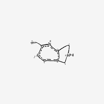 CC(C)(C)c1ncc2c(n1)CNC2